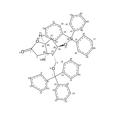 O=C1C[C@@H]2[C@@H](COC(c3ccccc3)(c3ccccc3)c3ccccc3)[C@H](O[Si](c3ccccc3)(c3ccccc3)c3ccccc3)C[C@@H]2O1